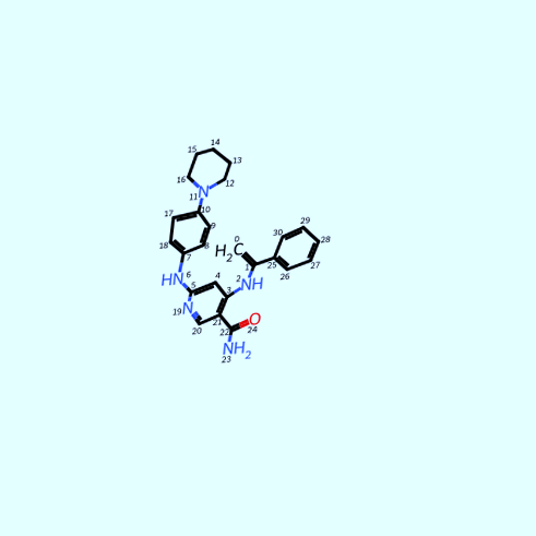 C=C(Nc1cc(Nc2ccc(N3CCCCC3)cc2)ncc1C(N)=O)c1ccccc1